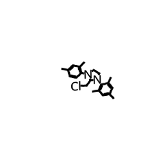 Cc1ccc(N2CCN(c3c(C)cc(C)cc3C)C2CCl)c(C)c1